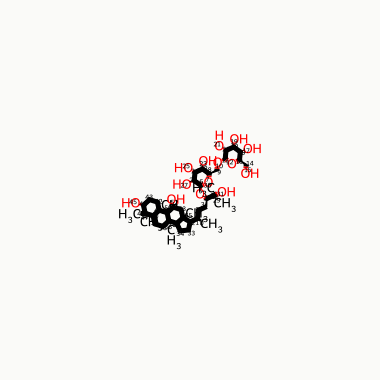 C[C@H](CC[C@@H](O[C@@H]1O[C@H](CO[C@@H]2O[C@H](CO)[C@@H](O)[C@H](O)[C@H]2O)[C@@H](O)[C@H](O)[C@H]1O)C(C)(C)O)C1CC[C@@]2(C)C3CC=C4C(CC[C@H](O)C4(C)C)[C@]3(C)[C@H](O)C[C@]12C